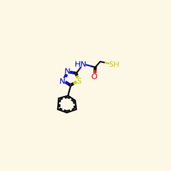 O=C(CS)Nc1nnc(-c2ccccc2)s1